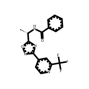 C[C@H](NC(=O)c1ccccc1)c1nc(-c2ccnc(C(F)(F)F)c2)no1